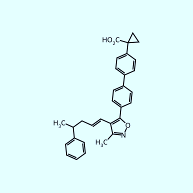 Cc1noc(-c2ccc(-c3ccc(C4(C(=O)O)CC4)cc3)cc2)c1/C=C/CC(C)c1ccccc1